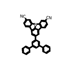 N#Cc1ccc2c3cc(-c4cc(-c5ccccc5)cc(-c5ccccc5)c4)cc4c5ccc(C#N)cc5n(c2c1)c34